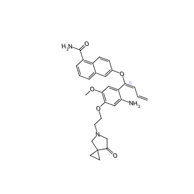 C=C/C=C(/Oc1ccc2c(C(N)=O)cccc2c1)c1cc(OC)c(OCCN2CC(=O)C3(CC3)C2)cc1N